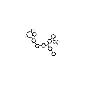 C=C1/C=C\C=C/CN(c2ccc(-c3cccc(-c4ccc(N(c5ccc(-c6ccccc6)cc5)c5ccc6c(c5)C(C)(C)c5ccccc5-6)cc4)c3)cc2)c2ccccc21